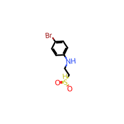 O=[SH](=O)CCNc1ccc(Br)cc1